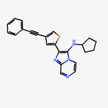 C(#Cc1csc(-c2nc3cnccn3c2NC2CCCC2)c1)c1ccccc1